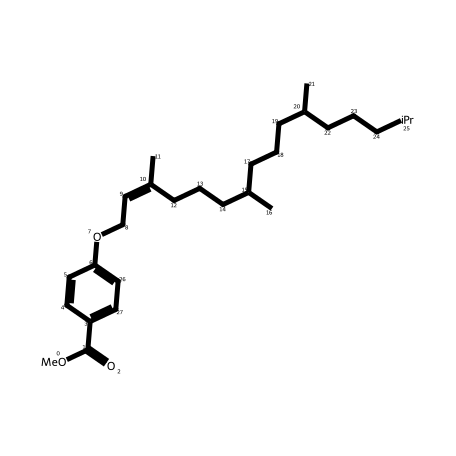 COC(=O)c1ccc(OCC=C(C)CCCC(C)CCCC(C)CCCC(C)C)cc1